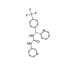 O=C(Nc1cccnc1)NC(c1ccc(C(F)(F)F)cc1)c1ccccn1